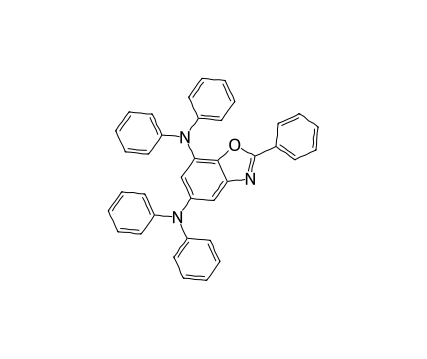 c1ccc(-c2nc3cc(N(c4ccccc4)c4ccccc4)cc(N(c4ccccc4)c4ccccc4)c3o2)cc1